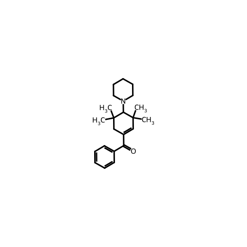 CC1(C)C=C(C(=O)c2ccccc2)CC(C)(C)C1N1CCCCC1